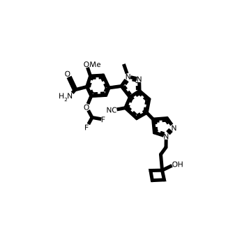 COc1cc(-c2c3c(C#N)cc(-c4cnn(CCC5(O)CCC5)c4)cc3nn2C)cc(OC(F)F)c1C(N)=O